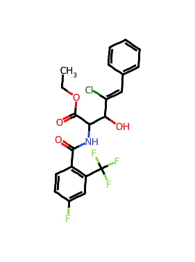 CCOC(=O)C(NC(=O)c1ccc(F)cc1C(F)(F)F)C(O)/C(Cl)=C/c1ccccc1